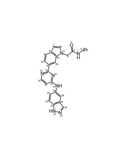 CC(C)NC(=O)Cn1ccc2ccc(-c3nccc(Nc4ccc5[nH]ncc5c4)n3)cc21